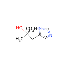 C[C@](O)(Cc1cnc[nH]1)C(=O)O